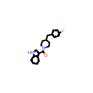 O=C(c1c[nH]c2ccccc12)N1CCC(Cc2ccc(F)cc2)CC1